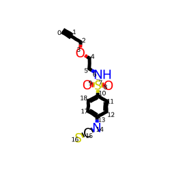 C#CCOCCNS(=O)(=O)c1ccc(N=C=S)cc1